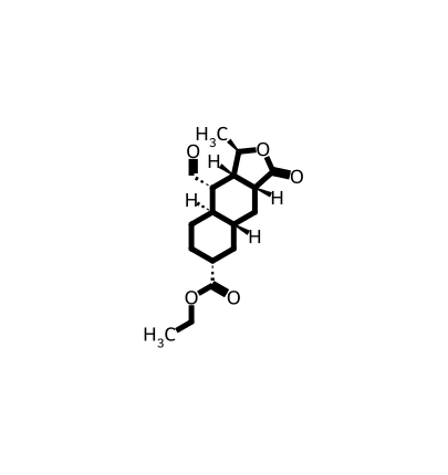 CCOC(=O)[C@@H]1CC[C@@H]2[C@@H](C1)C[C@H]1C(=O)O[C@H](C)[C@H]1[C@H]2C=O